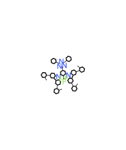 Cc1ccccc1-c1ccc2c(c1)c1cc(-c3ccccc3C)ccc1n2-c1cc(-c2nc(-c3ccccc3)nc(-c3ccccc3)n2)cc(-n2c3ccc(-c4ccccc4C)cc3c3cc(-c4ccccc4C)ccc32)c1C(F)(F)F